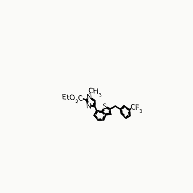 CCOC(=O)c1nc(-c2cccc3cc(Cc4cccc(C(F)(F)F)c4)sc23)cn1C